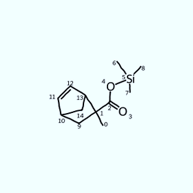 CC1(C(=O)O[Si](C)(C)C)CC2C=CC1C2